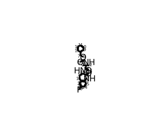 CC(C)(NC(=O)OCc1ccccc1)C(=O)N[C@@H]1CCc2cc(F)ccc2NC1=O